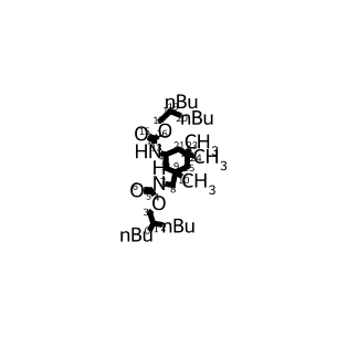 CCCCC(CCCC)COC(=O)NCC1(C)CC(NC(=O)OCC(CCCC)CCCC)CC(C)(C)C1